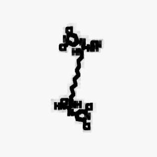 N#CN/C(=N/c1cc(Cl)nc(Cl)c1)NCCCCCCCCCCN/C(=N\c1cc(Cl)nc(Cl)c1)NC#N